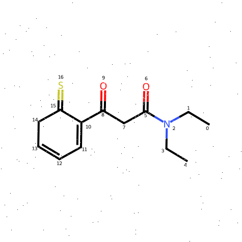 CCN(CC)C(=O)CC(=O)C1=CC=CCC1=S